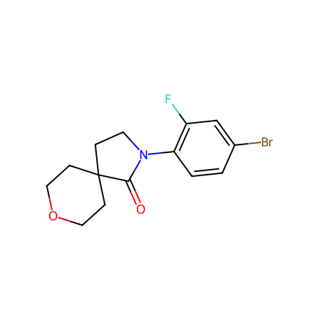 O=C1N(c2ccc(Br)cc2F)CCC12CCOCC2